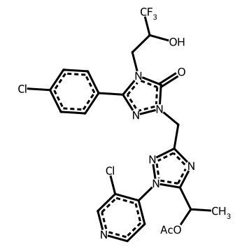 CC(=O)OC(C)c1nc(Cn2nc(-c3ccc(Cl)cc3)n(CC(O)C(F)(F)F)c2=O)nn1-c1ccncc1Cl